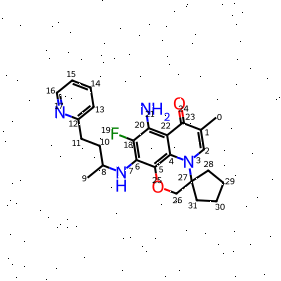 Cc1cn2c3c(c(NC(C)CCc4ccccn4)c(F)c(N)c3c1=O)OCC21CCCC1